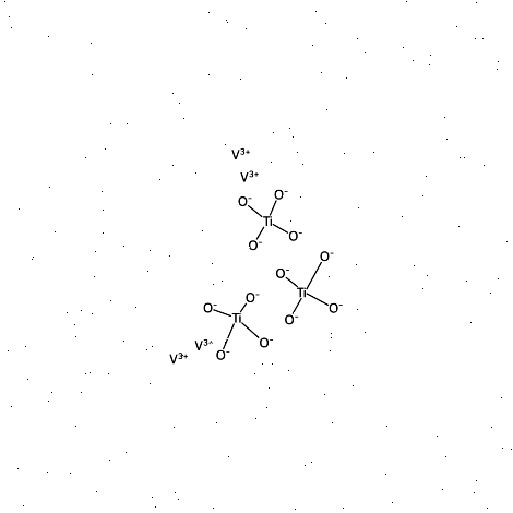 [O-][Ti]([O-])([O-])[O-].[O-][Ti]([O-])([O-])[O-].[O-][Ti]([O-])([O-])[O-].[V+3].[V+3].[V+3].[V+3]